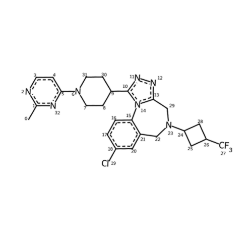 Cc1nccc(N2CCC(c3nnc4n3-c3ccc(Cl)cc3CN(C3CC(C(F)(F)F)C3)C4)CC2)n1